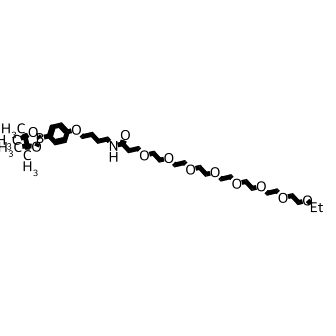 CCOCCOCCOCCOCCOCCOCCOCCOCCC(=O)NCCCCOc1ccc(B2OC(C)(C)C(C)(C)O2)cc1